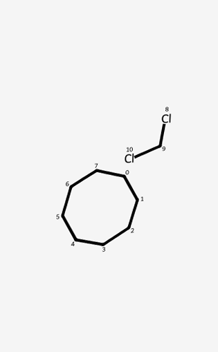 C1CCCCCCC1.ClCCl